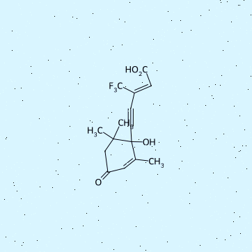 CC1=CC(=O)CC(C)(C)C1(O)C#C/C(=C/C(=O)O)C(F)(F)F